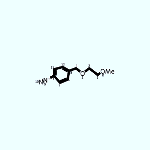 COCCOCc1ccc([N+]#N)cc1